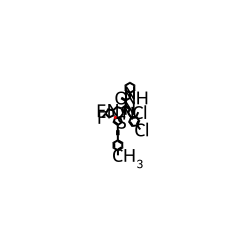 Cc1ccc(C#Cc2ccc(-c3c(CN4CCC(F)(F)C4)c(C(=O)NN4CCCCC4)nn3-c3ccc(Cl)cc3Cl)s2)cc1